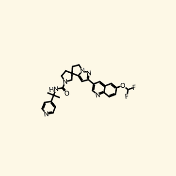 CC(C)(NC(=O)N1CCC2(CCn3nc(-c4cnc5ccc(OC(F)F)cc5c4)cc32)C1)c1ccncc1